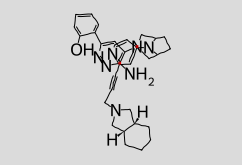 Nc1nnc(-c2ccccc2O)cc1N1CC2CCC(C1)N2c1ccnc(C#CCN2C[C@H]3CCCC[C@H]3C2)c1